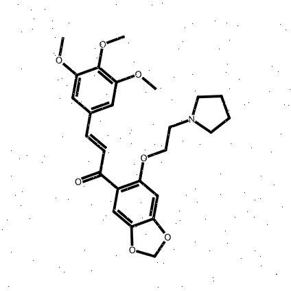 COc1cc(C=CC(=O)c2cc3c(cc2OCCN2CCCC2)OCO3)cc(OC)c1OC